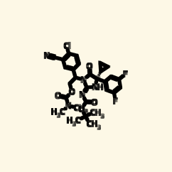 CN(C)C(=O)OCC(c1ccc(Cl)c(C#N)c1)N1C(=O)[C@](c2cc(F)cc(F)c2)(C2CC2)NC1=NC(=O)OC(C)(C)C